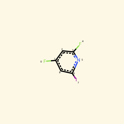 Fc1cc(F)nc(I)c1